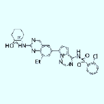 CCc1cc(-c2ccc3c(NS(=O)(=O)c4ccccc4Cl)ncnn23)cc2cnc(N[C@H]3CCCC[C@@H]3O)nc12